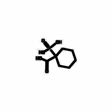 O=C(O)C1(P(=O)(O)O)CCCCC1